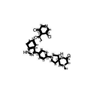 C[C@@H](Oc1ccc2[nH]nc(-c3ccc(N4CCC5(CC4)CN(C)CC(=O)N5)nc3)c2c1)c1c(Cl)cncc1Cl